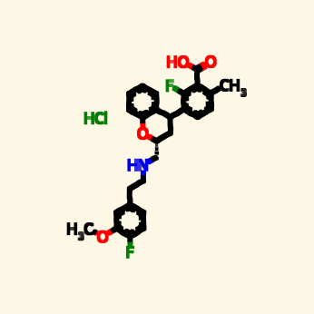 COc1cc(CCNC[C@H]2CC(c3ccc(C)c(C(=O)O)c3F)c3ccccc3O2)ccc1F.Cl